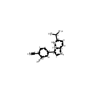 N#Cc1ccc(-c2cnc3ccc(C(F)F)nn23)cc1F